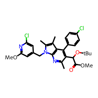 COC(=O)C(OC(C)(C)C)c1c(C)nc2c(c(C)c(C)n2Cc2cc(Cl)nc(OC)c2)c1-c1ccc(Cl)cc1